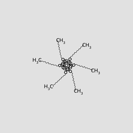 CCCCCCCCCCCCCCc1ccc(OC(=O)c2c(C(=O)Oc3ccc(CCCCCCCCCCCCCC)cc3)c(C(=O)Oc3ccc(CCCCCCCCCCCCCC)cc3)c(C(=O)Oc3ccc(CCCCCCCCCCCCCC)cc3)c(C(=O)Oc3ccc(CCCCCCCCCCCCCC)cc3)c2C(=O)Oc2ccc(CCCCCCCCCCCCCC)cc2)cc1